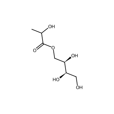 CC(O)C(=O)OC[C@@H](O)[C@H](O)CO